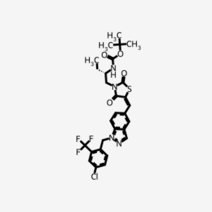 CC[C@@H](CN1C(=O)S/C(=C/c2ccc3c(cnn3Cc3ccc(Cl)cc3C(F)(F)F)c2)C1=O)NC(=O)OC(C)(C)C